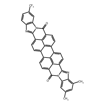 Cc1cc(C)c2nc3c4ccc5c6ccc7c(=O)n8c9cc(C(F)(F)F)ccc9nc8c8ccc(c9ccc(c(=O)n3c2c1)c4c95)c6c78